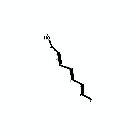 CC=CC=C/C=C/CO